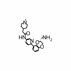 CN1CCC(CC(=O)Nc2ccc(-c3cccc4c3O[C@H](CN)CO4)nc2)CC1